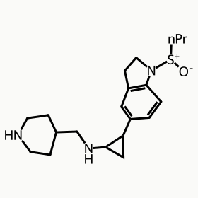 CCC[S+]([O-])N1CCc2cc(C3CC3NCC3CCNCC3)ccc21